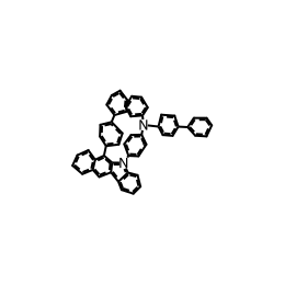 c1ccc(-c2ccc(-c3c4ccccc4cc4c5ccccc5n(-c5ccc(N(c6ccccc6)c6ccc(-c7ccccc7)cc6)cc5)c34)cc2)cc1